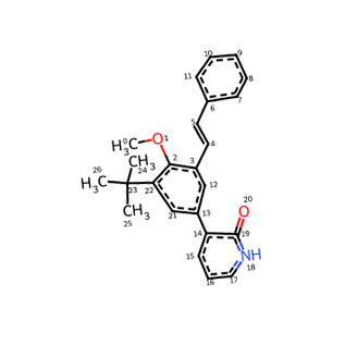 COc1c(/C=C/c2ccccc2)cc(-c2ccc[nH]c2=O)cc1C(C)(C)C